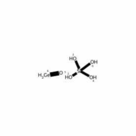 O[Si](O)(O)O.[O]=[GeH2]